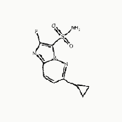 NS(=O)(=O)c1c(F)nc2ccc(C3CC3)nn12